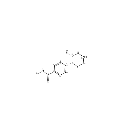 COC(=O)c1ccc([C@H]2CCNC[C@H]2F)cc1